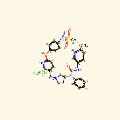 Cc1ccc(NC(=O)N(c2ccccc2)[C@@H]2CCN(Cc3ccc(Oc4ccc(NS(C)(=O)=O)cc4)nc3)C2)cn1.Cl.Cl